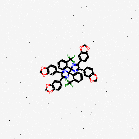 FC(F)(F)c1ccccc1C1(C2(c3ccccc3C(F)(F)F)N=C(c3ccc4c(c3)OCO4)C(c3ccc4c(c3)OCO4)=N2)N=C(c2ccc3c(c2)OCO3)C(c2ccc3c(c2)OCO3)=N1